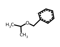 CC(C)OCc1[c]cccc1